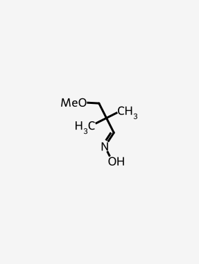 COCC(C)(C)C=NO